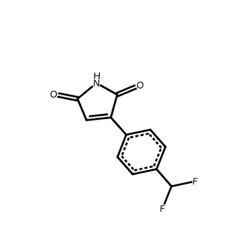 O=C1C=C(c2ccc(C(F)F)cc2)C(=O)N1